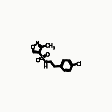 Cc1nocc1S(=O)(=O)NCCc1ccc(Cl)cc1